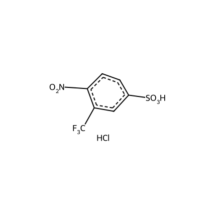 Cl.O=[N+]([O-])c1ccc(S(=O)(=O)O)cc1C(F)(F)F